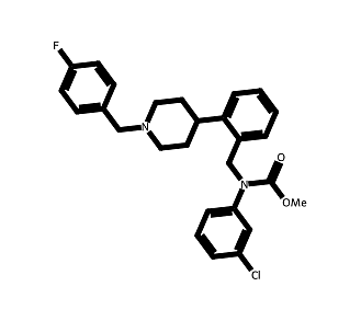 COC(=O)N(Cc1ccccc1C1CCN(Cc2ccc(F)cc2)CC1)c1cccc(Cl)c1